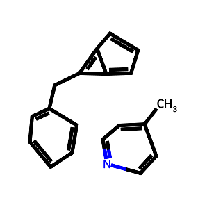 Cc1ccncc1.c1ccc(Cc2c3cccc2-3)cc1